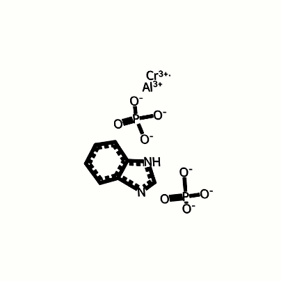 O=P([O-])([O-])[O-].O=P([O-])([O-])[O-].[Al+3].[Cr+3].c1ccc2[nH]cnc2c1